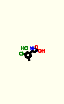 Cc1cc(Cl)cc(C(N)CC(=O)O)c1.Cl